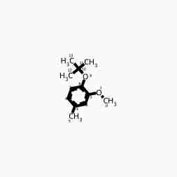 COc1cc(C)ccc1OC(C)(C)C